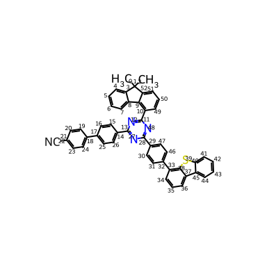 CC1(C)c2ccccc2-c2c(-c3nc(-c4ccc(-c5ccc(C#N)cc5)cc4)nc(-c4ccc(-c5cccc6c5sc5ccccc56)cc4)n3)cccc21